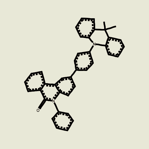 CC1(C)c2ccccc2N(c2ccc(-c3ccc4c(c3)c3ccccc3c(=O)n4-c3ccccc3)cc2)c2ccccc21